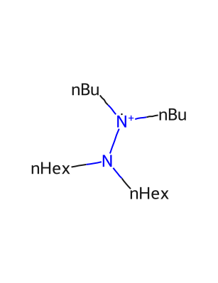 CCCCCCN(CCCCCC)[N+](CCCC)CCCC